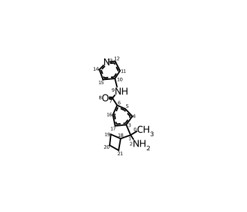 CC(N)(c1ccc(C(=O)Nc2ccncc2)cc1)C1CCC1